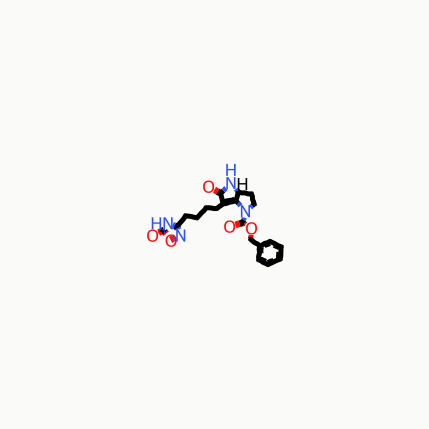 O=C1N[C@H]2CCN(C(=O)OCc3ccccc3)C2=C1CCCCc1noc(=O)[nH]1